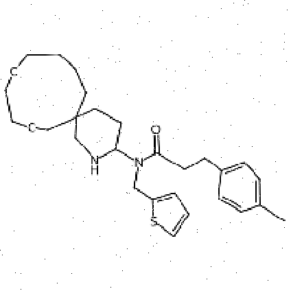 Cc1ccc(CCC(=O)N(Cc2cccs2)C2CCC3(CCCCCCCCC3)CN2)cc1